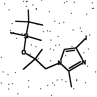 Cc1nc(I)cn1CC(C)(C)O[Si](C)(C)C(C)(C)C